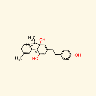 C=C(C)C1(O)C=C(CCc2ccc(O)cc2)C=C(O)[C@@H]1C1C=C(C)CCC1